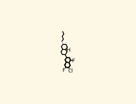 CCCCC[C@@H]1CC[C@@H]2CC(c3cc(F)c4cc(Cl)c(F)cc4c3)CCC2C1